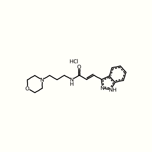 Cl.O=C(/C=C/c1n[nH]c2ccccc12)NCCCN1CCOCC1